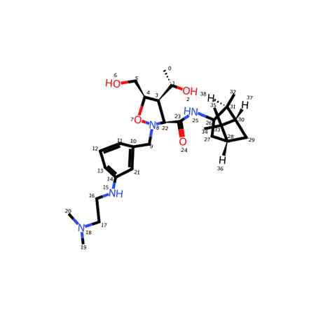 C[C@H](O)[C@@H]1[C@H](CO)ON(Cc2cccc(NCCN(C)C)c2)[C@@H]1C(=O)NC1C[C@H]2C[C@@H]([C@@H]1C)C2(C)C